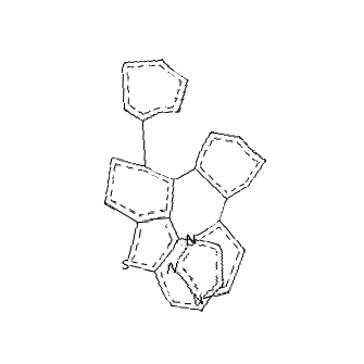 c1ccc(-c2ccc3sc4ccccc4c3c2-c2ccccc2-c2ccnnn2)cc1